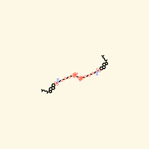 CC(C)CCCC(C)C1CCC2C3CC=C4C[C@H](OC(=O)NCCOCCOCCOCCOP(=O)(O)OCCOP(=O)(O)OCCOCCOCCOCCNC(=O)O[C@@H]5CC[C@]6(C)C(=CCC7C8CCC(C(C)CCCC(C)C)[C@]8(C)CCC76)C5)CC[C@@]4(C)C3CC[C@@]12C